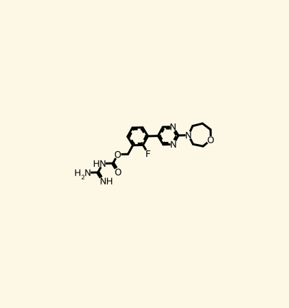 N=C(N)NC(=O)OCc1cccc(-c2cnc(N3CCCOCC3)nc2)c1F